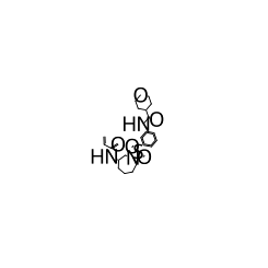 C=CC(=O)NC1CCCCN(S(=O)(=O)c2cccc(NC(=O)C3CCOCC3)c2)C1